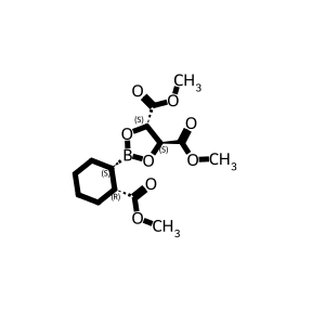 COC(=O)[C@H]1OB([C@H]2CCCC[C@H]2C(=O)OC)O[C@@H]1C(=O)OC